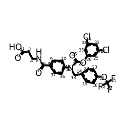 O=C(O)CCNC(=O)c1ccc(N(Cc2ccc(OC(F)(F)F)cc2)C(=O)Oc2cc(Cl)cc(Cl)c2)cc1